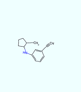 C#Cc1cccc(N[C]2CCCC2C)c1